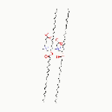 CCCCCCCCCCCCCCCCCC(=O)OC(CCCCCCCCCCCCCCCC)C[N+](C)(C)CC(=O)[O-].CCCCCCCCCCCCCCCCCC(=O)OC(CCCCCCCCCCCCCCCC)C[N+](C)(C)CCCC(=O)[O-]